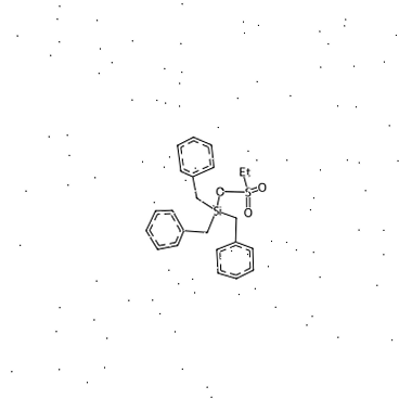 CCS(=O)(=O)O[Si](Cc1ccccc1)(Cc1ccccc1)Cc1ccccc1